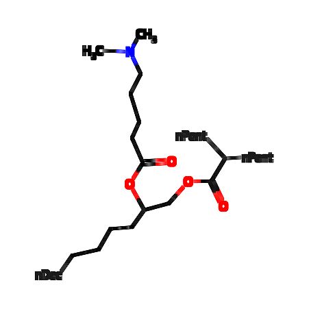 CCCCCCCCCCCCCCC(COC(=O)C(CCCCC)CCCCC)OC(=O)CCCCN(C)C